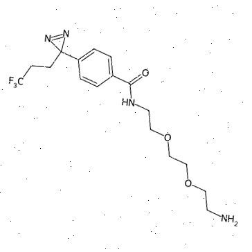 NCCOCCOCCNC(=O)c1ccc(C2(CCC(F)(F)F)N=N2)cc1